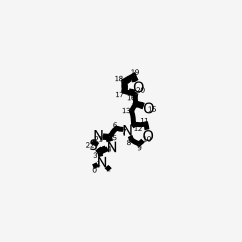 CN(C)c1nc(CN2CCOCC2CC(=O)c2ccco2)ns1